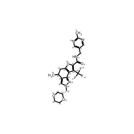 Cc1ncc(CNC(=O)c2oc3c(c2C(F)(F)F)-c2nn(C[C@H]4COCCO4)cc2C(C)C3)cn1